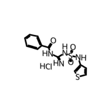 Cl.N=C(NC(=O)c1ccccc1)NS(=O)(=O)Nc1ccsc1